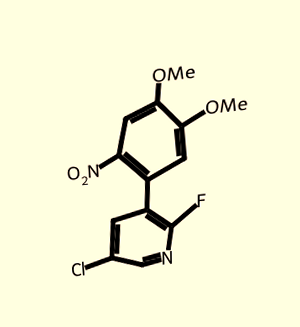 COc1cc(-c2cc(Cl)cnc2F)c([N+](=O)[O-])cc1OC